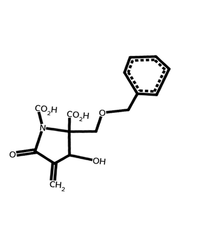 C=C1C(=O)N(C(=O)O)C(COCc2ccccc2)(C(=O)O)C1O